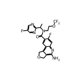 CC(c1ncc(F)cn1)N(CCOC(F)(F)F)C(=O)c1cc2c3c(c(N)nc2cc1F)COC3